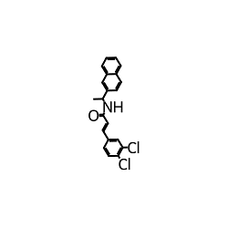 CC(NC(=O)C=Cc1ccc(Cl)c(Cl)c1)c1ccc2ccccc2c1